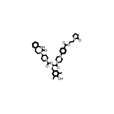 Cc1cc(C[C@@H](OC(=O)N2CCC(N3CCc4ccccc4NC3=O)CC2)C(=O)N2CCN(c3ccc(C(=O)OCCN4CCCC4=O)cc3)CC2)cc(C)c1O